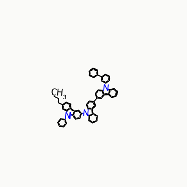 CCCCc1ccc2c3cc(-n4c5ccccc5c5cc(-c6ccc7c(c6)c6ccccc6n7-c6cccc(-c7ccccc7)c6)ccc54)ccc3n(-c3ccccc3)c2c1